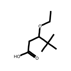 CCOC(CC(=O)O)C(C)(C)C